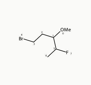 COC(CCBr)C(C)F